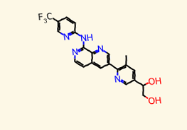 Cc1cc(C(O)CO)cnc1-c1cnc2c(Nc3ccc(C(F)(F)F)cn3)nccc2c1